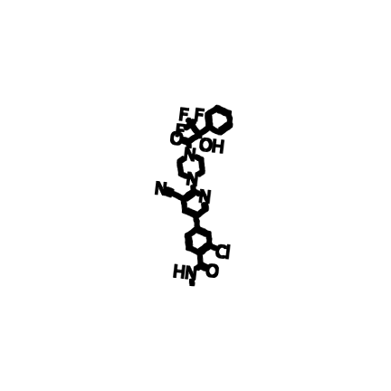 CNC(=O)c1ccc(-c2cnc(N3CCN(C(=O)[C@](O)(c4ccccc4)C(F)(F)F)CC3)c(C#N)c2)cc1Cl